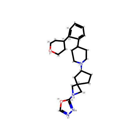 c1ccc(C2CCN([C@H]3CCC4(C3)CN(c3nnco3)C4)CC2)c(C2CCOCC2)c1